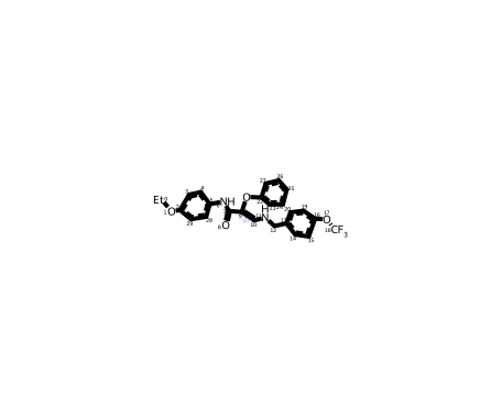 CCOc1ccc(NC(=O)/C(=C/NCc2ccc(OC(F)(F)F)cc2)Oc2ccccc2)cc1